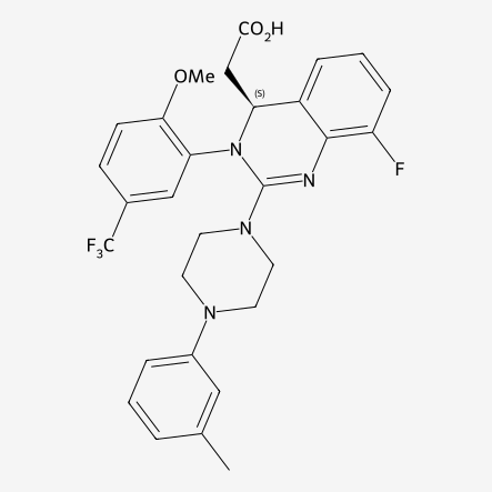 COc1ccc(C(F)(F)F)cc1N1C(N2CCN(c3cccc(C)c3)CC2)=Nc2c(F)cccc2[C@@H]1CC(=O)O